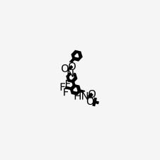 CC(C)(C)OC(=O)NCc1ccc(C(F)(F)F)c(C2=CCN(C(=O)OCc3ccccc3)CC2)c1